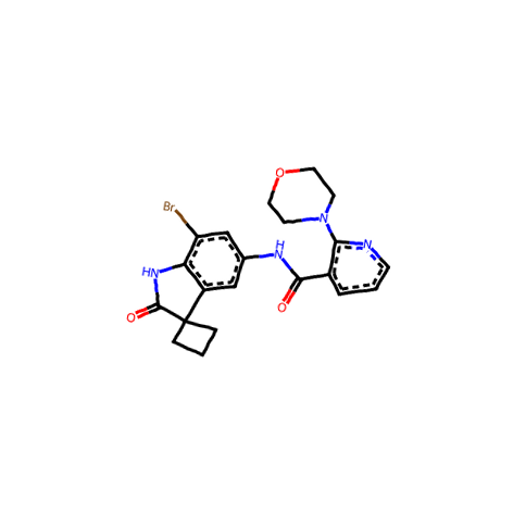 O=C(Nc1cc(Br)c2c(c1)C1(CCC1)C(=O)N2)c1cccnc1N1CCOCC1